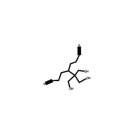 N#CCCC(CCC#N)C(CO)(CO)CO